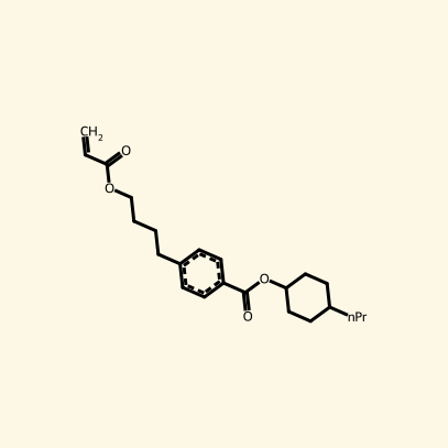 C=CC(=O)OCCCCc1ccc(C(=O)OC2CCC(CCC)CC2)cc1